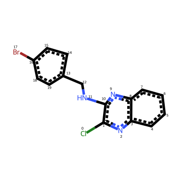 Clc1nc2ccccc2nc1NCc1ccc(Br)cc1